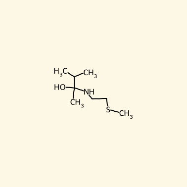 CSCCNC(C)(O)C(C)C